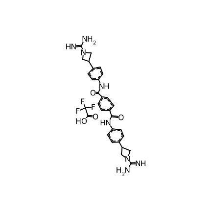 N=C(N)N1CC(c2ccc(NC(=O)c3ccc(C(=O)Nc4ccc(C5CN(C(=N)N)C5)cc4)cc3)cc2)C1.O=C(O)C(F)(F)F